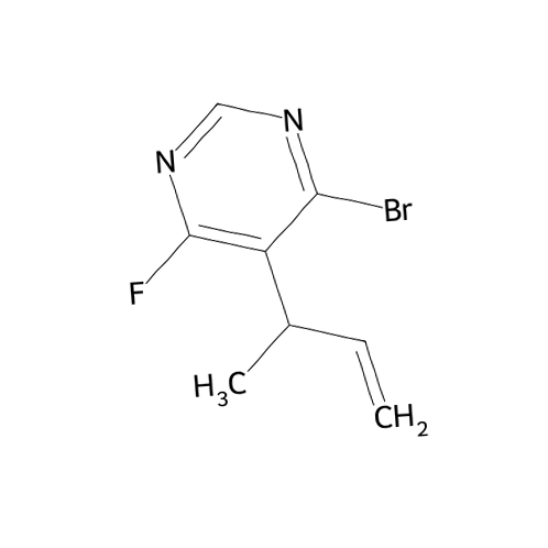 C=CC(C)c1c(F)ncnc1Br